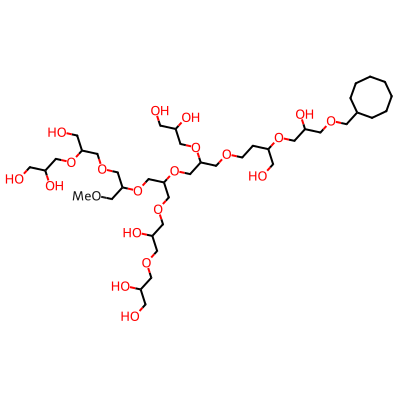 COCC(COCC(CO)OCC(O)CO)OCC(COCC(O)COCC(O)CO)OCC(COCCC(CO)OCC(O)COCC1CCCCCCC1)OCC(O)CO